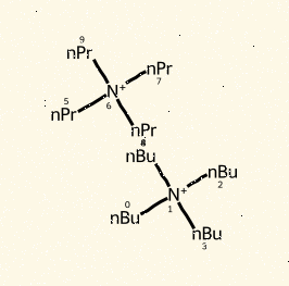 CCCC[N+](CCCC)(CCCC)CCCC.CCC[N+](CCC)(CCC)CCC